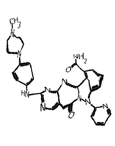 CN1CCN(c2ccc(Nc3ncc4c(=O)n5c(nc4n3)c3c(C(N)=O)cccc3n5-c3ccccn3)cc2)CC1